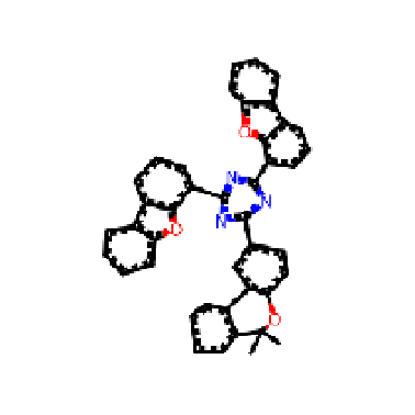 CC1(C)Oc2ccc(-c3nc(-c4cccc5c4oc4ccccc45)nc(-c4cccc5c4oc4ccccc45)n3)cc2-c2ccccc21